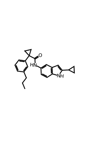 CCCc1cccc(C2(C(=O)Nc3ccc4[nH]c(C5CC5)cc4c3)CC2)c1